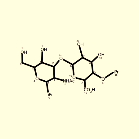 CC(=O)NC1C(C(C)C)OC(CO)C(O)C1OC1OC(C(=O)O)C(OC(C)C)C(O)C1O